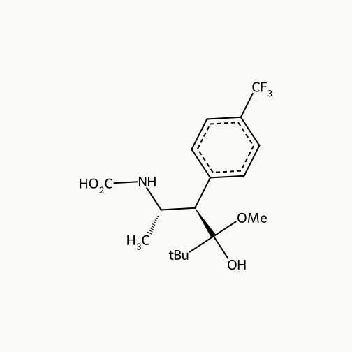 COC(O)([C@H](c1ccc(C(F)(F)F)cc1)[C@H](C)NC(=O)O)C(C)(C)C